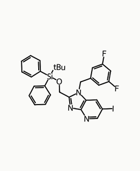 CC(C)(C)[Si](OCc1nc2ncc(I)cc2n1Cc1cc(F)cc(F)c1)(c1ccccc1)c1ccccc1